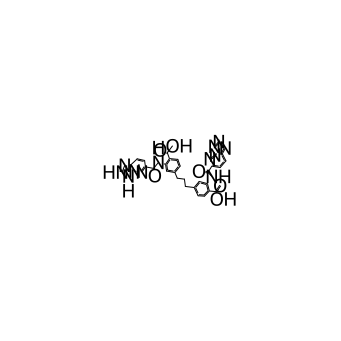 O=C(Nc1cc(CCCc2ccc(C(=O)O)c(NC(=O)c3ccc4nnnn4n3)c2)ccc1C(=O)O)C1=NN2NNN=C2C=C1